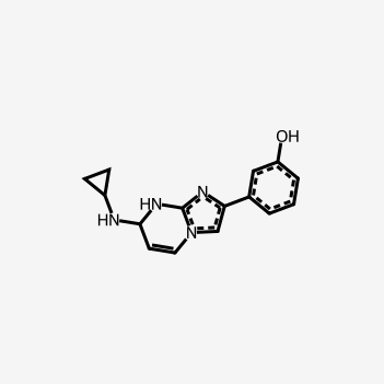 Oc1cccc(-c2cn3c(n2)NC(NC2CC2)C=C3)c1